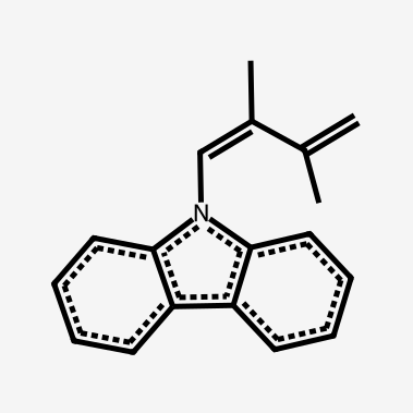 C=C(C)/C(C)=C\n1c2ccccc2c2ccccc21